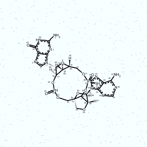 Nc1nc2c(ncn2[C@@H]2O[C@@H]3CO[P@@](=O)(S)O[C@H]4[C@H]5OC[C@]4(CO[PH](=O)O[C@@H]2[C@@H]3F)O[C@H]5n2cnc3c(N)ncnc32)c(=O)[nH]1